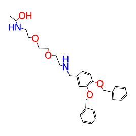 CC(O)NCCOCCOCCNCc1ccc(OCc2ccccc2)c(OCc2ccccc2)c1